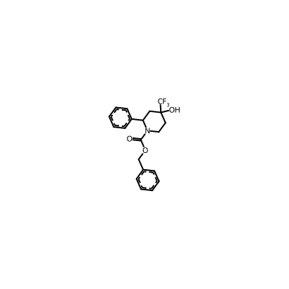 O=C(OCc1ccccc1)N1CCC(O)(C(F)(F)F)CC1c1ccccc1